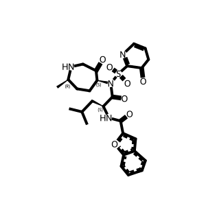 CC(C)C[C@H](NC(=O)c1cc2ccccc2o1)C(=O)N([C@H]1CC[C@@H](C)NCC1=O)S(=O)(=O)C1=NC=CCC1=O